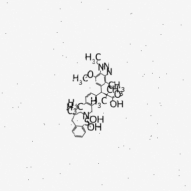 CCn1nnc2c(C)c([C@H](c3ccc(C)c(CN4C[C@H](C)Cc5ccccc5S4(O)O)c3)C(C)(C)C(=O)O)cc(OC)c21